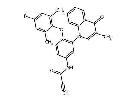 C#CC(=O)Nc1ccc(Oc2c(C)cc(F)cc2C)c(-n2cc(C)c(=O)c3ccccc32)c1